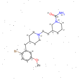 CC(C)Oc1ccc(Br)c(CC2CCN(CCC3CCCN(C(N)=O)C3)CC2)c1